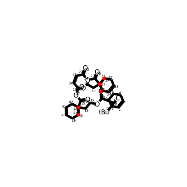 CC(C)(C)C12C=CC(CC1)CC2C(=O)OCCC1(C(=O)OC(=O)/C=C\C(=O)OC(=O)C2(CCO)CC3C=CC2CC3)CC2C=CC1CC2